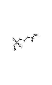 C=CS(=O)(=O)CCCNN